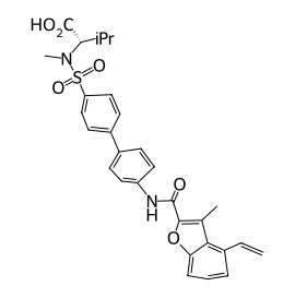 C=Cc1cccc2oc(C(=O)Nc3ccc(-c4ccc(S(=O)(=O)N(C)[C@H](C(=O)O)C(C)C)cc4)cc3)c(C)c12